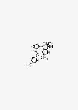 Cc1ccc(OC2CC34CC3CN(C(=O)c3cc(C)cnc3-n3nccn3)C24)nc1